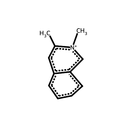 Cc1cc2ccccc2c[n+]1C